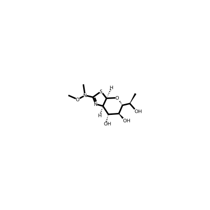 CON(C)C1=N[C@@H]2[C@@H](O)[C@H](O)[C@@H]([C@@H](C)O)O[C@@H]2S1